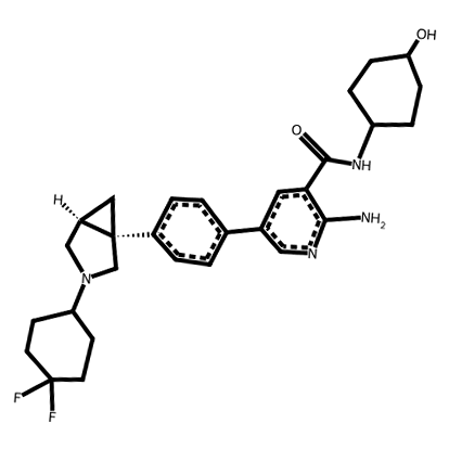 Nc1ncc(-c2ccc([C@@]34C[C@@H]3CN(C3CCC(F)(F)CC3)C4)cc2)cc1C(=O)NC1CCC(O)CC1